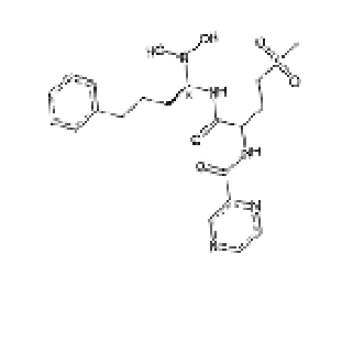 CS(=O)(=O)CCC(NC(=O)c1cnccn1)C(=O)N[C@@H](CCCc1ccccc1)B(O)O